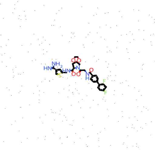 N=C(N)c1csc(CNC(=O)C2CC3(CN2C(=O)CNC(=O)c2ccc(-c4ccc(F)cc4F)cc2)OCCO3)c1